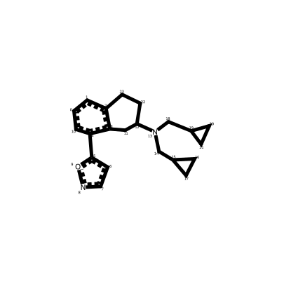 c1cc2c(c(-c3ccno3)c1)CC(N(CC1CC1)CC1CC1)CC2